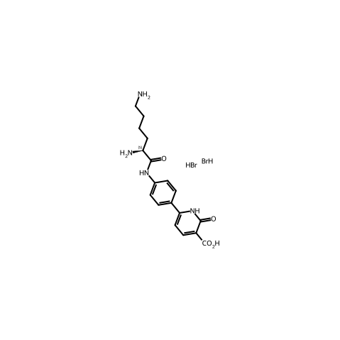 Br.Br.NCCCC[C@H](N)C(=O)Nc1ccc(-c2ccc(C(=O)O)c(=O)[nH]2)cc1